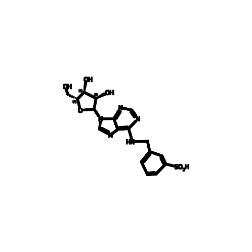 O=S(=O)(O)c1cccc(CNc2ncnc3c2ncn3C2O[C@H](CO)[C@@H](O)[C@H]2O)c1